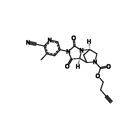 C#CCCOC(=O)N1C[C@H]2CC1[C@H]1C(=O)N(c3cnc(C#N)c(C)c3)C(=O)N21